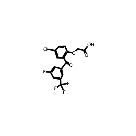 O=C(O)COc1ccc(Cl)cc1C(=O)c1cc(F)cc(C(F)(F)F)c1